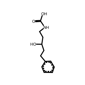 O=C(O)NCCC(O)CCc1ccccc1